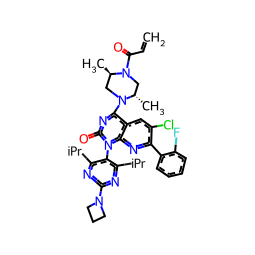 C=CC(=O)N1C[C@H](C)N(c2nc(=O)n(-c3c(C(C)C)nc(N4CCC4)nc3C(C)C)c3nc(-c4ccccc4F)c(Cl)cc23)C[C@H]1C